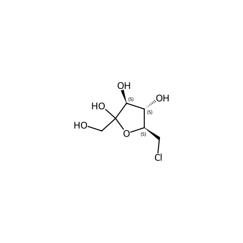 OCC1(O)O[C@H](CCl)[C@@H](O)[C@@H]1O